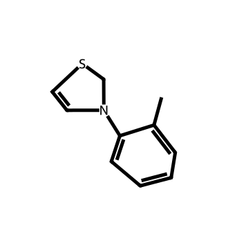 Cc1ccccc1N1C=CSC1